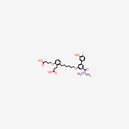 CN(C)C(=O)c1cc(OCCCCCCc2cccc(OCCCC(=O)O)c2CCC(=O)O)cc(-c2ccc(F)c(O)c2)c1